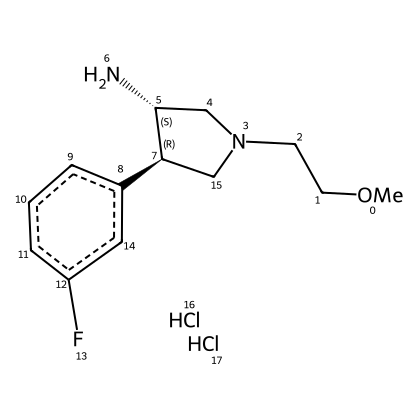 COCCN1C[C@@H](N)[C@H](c2cccc(F)c2)C1.Cl.Cl